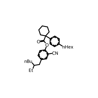 CCCCCCc1ccc(C2(C(=O)Oc3ccc(CC(CC)CCCC)cc3C#N)CCCCC2)cc1